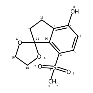 CS(=O)(=O)c1ccc(O)c2c1C1(CC2)OCCO1